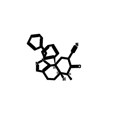 C[C@@H]1C(=O)C(C#N)C[C@]2(c3ccccc3)c3c(cnn3Cc3ccccc3)CC[C@@H]12